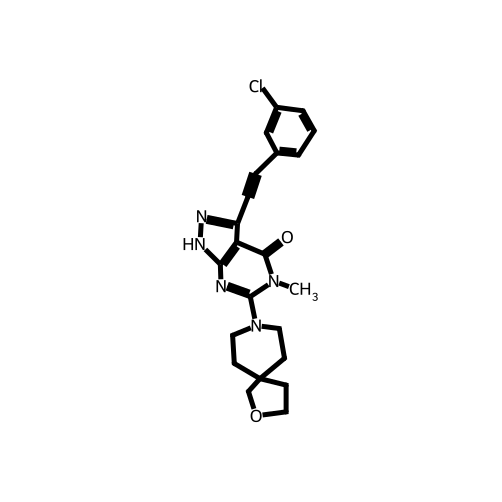 Cn1c(N2CCC3(CCOC3)CC2)nc2[nH]nc(C#Cc3cccc(Cl)c3)c2c1=O